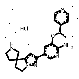 CC(Oc1cc(-c2cc3n(n2)CCC32CCNC2)cnc1N)c1ccncc1.Cl